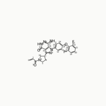 C=CC(=O)N1CC[C@H](c2nn(-c3ccc(Oc4c(F)cccc4F)cc3)c3c(N)n[nH]c(=O)c23)C1